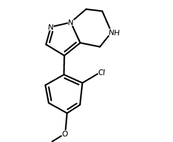 COc1ccc(-c2cnn3c2CNCC3)c(Cl)c1